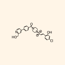 O=C(c1ccc(-c2ccnc(CO)c2)cc1)N1CCN(S(=O)(=O)C=Cc2ccc(Cl)cc2O)CC1